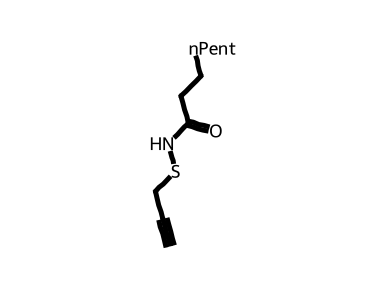 C#CCSNC(=O)CCCCCCC